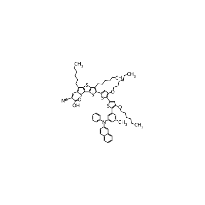 CCCCCCOc1cc(-c2sc(-c3sc4c(sc5c(CCCCCC)c(/C=C(/C#N)C(=O)O)sc54)c3CCCCCC)cc2OCCCCCC)sc1-c1cc(C)cc(N(c2ccccc2)c2ccc3ccccc3c2)c1